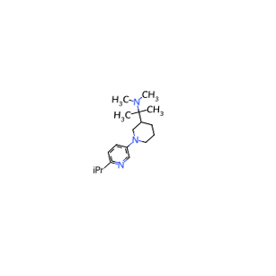 CC(C)c1ccc(N2CCCC(C(C)(C)N(C)C)C2)cn1